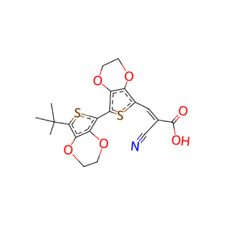 CC(C)(C)c1sc(-c2sc(/C=C(\C#N)C(=O)O)c3c2OCCO3)c2c1OCCO2